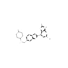 Cc1nc2c(-c3cc4ccc(CN(C)C5CCC(C)CC5)cc4[nH]3)cc(N)nc2[nH]1